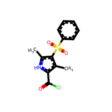 Cc1[nH]c(C(=O)Cl)c(C)c1S(=O)(=O)c1ccccc1